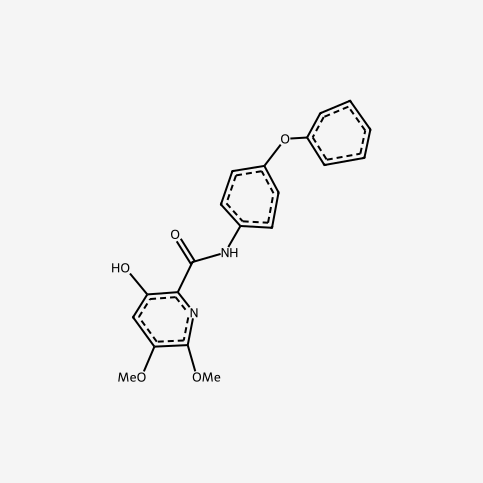 COc1cc(O)c(C(=O)Nc2ccc(Oc3ccccc3)cc2)nc1OC